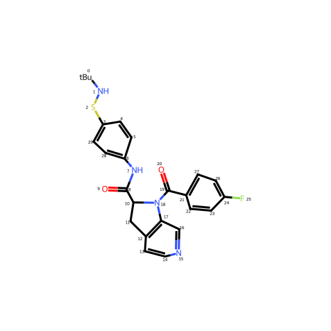 CC(C)(C)NSc1ccc(NC(=O)C2Cc3ccncc3N2C(=O)c2ccc(F)cc2)cc1